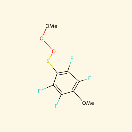 COOOSc1c(F)c(F)c(OC)c(F)c1F